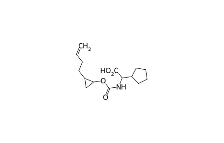 C=CCCC1CC1OC(=O)NC(C(=O)O)C1CCCC1